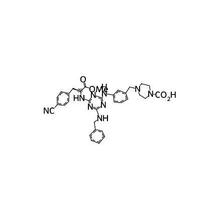 COC(=O)[C@H](Cc1ccc(C#N)cc1)Nc1nc(NCc2ccccc2)nc(Nc2cccc(CN3CCN(C(=O)O)CC3)c2)n1